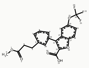 COC(=O)CCc1cccc(-c2c(C(=O)O)oc3ccc(OC(F)(F)F)cc23)c1